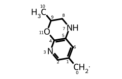 [CH2]c1cnc2c(c1)NCC(C)O2